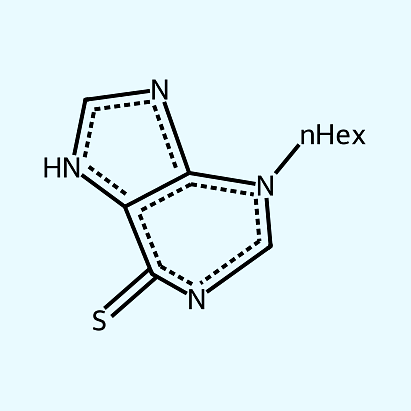 CCCCCCn1cnc(=S)c2[nH]cnc21